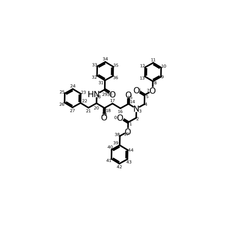 O=C(CN(CC(=O)Oc1ccccc1)C(=O)CCC(=O)C(Cc1ccccc1)NC(=O)c1ccccc1)OCc1ccccc1